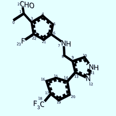 CC(C=O)c1ccc(NCc2c[nH]nc2-c2ccc(C(F)(F)F)cc2)cc1F